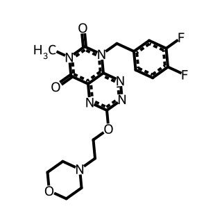 Cn1c(=O)c2nc(OCCN3CCOCC3)nnc2n(Cc2ccc(F)c(F)c2)c1=O